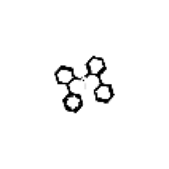 C1=CCC(C2=CCCC=C2NC2C=CCCC2c2ccccc2)C=C1